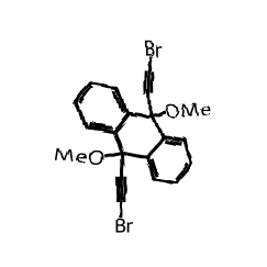 COC1(C#CBr)c2ccccc2C(C#CBr)(OC)c2ccccc21